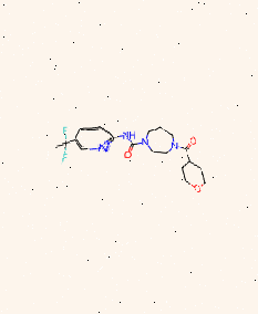 CC(F)(F)c1ccc(NC(=O)N2CCCN(C(=O)C3CCOCC3)CC2)nc1